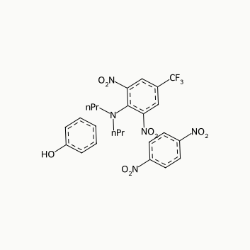 CCCN(CCC)c1c([N+](=O)[O-])cc(C(F)(F)F)cc1[N+](=O)[O-].O=[N+]([O-])c1ccc([N+](=O)[O-])cc1.Oc1ccccc1